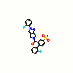 CS(=O)(=O)c1ccc(-c2ccccc2F)c(C(=O)N2Cc3cn(-c4ccccc4F)nc3C2)c1